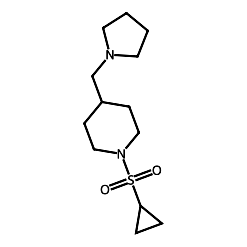 O=S(=O)(C1CC1)N1CCC(CN2CCCC2)CC1